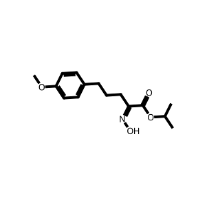 COc1ccc(CCCC(=NO)C(=O)OC(C)C)cc1